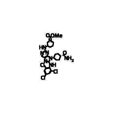 COC(=O)N1CCC[C@@H](Nc2ncc3nc(Nc4c(Cl)cc(Cl)cc4Cl)n([C@H]4CC[C@@H](C(N)=O)CC4)c3n2)C1